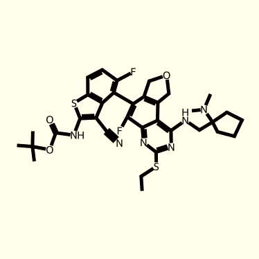 CCSc1nc(NCC2(N(C)C)CCCC2)c2c3c(c(-c4c(F)ccc5sc(NC(=O)OC(C)(C)C)c(C#N)c45)c(F)c2n1)COC3